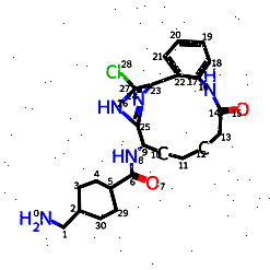 NCC1CCC(C(=O)N[C@H]2CCCCC(=O)Nc3ccccc3-c3nc2[nH]c3Cl)CC1